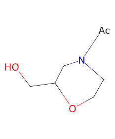 CC(=O)N1CCOC(CO)C1